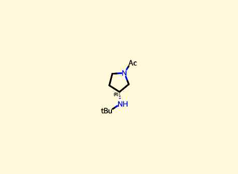 CC(=O)N1CC[C@@H](NC(C)(C)C)C1